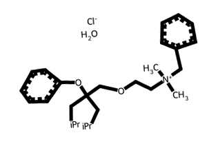 CC(C)CC(COCC[N+](C)(C)Cc1ccccc1)(CC(C)C)Oc1ccccc1.O.[Cl-]